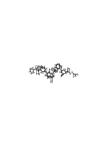 CN(C)CCNc1cc(F)cc(-c2nccc3[nH]c(-c4n[nH]c5ncc(-c6cncc(NC(O)c7ccccc7)c6)cc45)nc23)c1